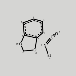 CCN=C=O.c1ccc2c(c1)OCO2